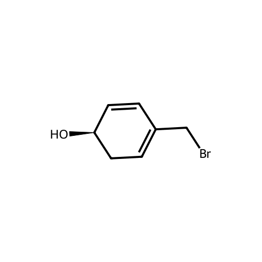 O[C@H]1C=CC(CBr)=CC1